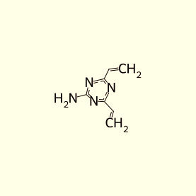 C=Cc1nc(N)nc(C=C)n1